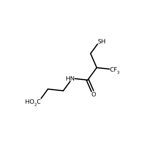 O=C(O)CCNC(=O)C(CS)C(F)(F)F